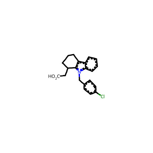 O=C(O)CC1CCCc2c1n(Cc1ccc(Cl)cc1)c1ccccc21